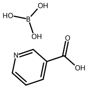 O=C(O)c1cccnc1.OB(O)O